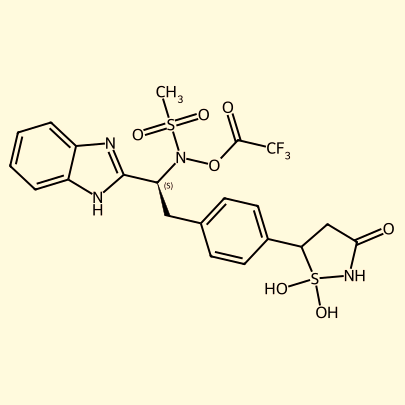 CS(=O)(=O)N(OC(=O)C(F)(F)F)[C@@H](Cc1ccc(C2CC(=O)NS2(O)O)cc1)c1nc2ccccc2[nH]1